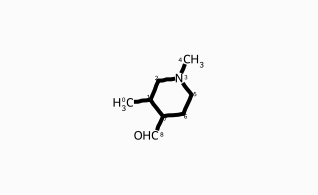 CC1CN(C)CCC1C=O